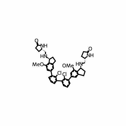 COc1cc(-c2cccc(-c3cccc(-c4cc5c(c(OC)c4)[C@@H](NC[C@@H]4CCC(=O)N4)CC5)c3Cl)c2Cl)cc2c1[C@@H](NC[C@@H]1CCC(=O)N1)CC2